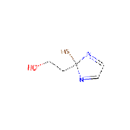 OCCC1(S)N=CC=N1